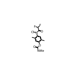 CNC(=O)Oc1cc(C)c(N(Cl)C(=O)C(F)F)cc1C